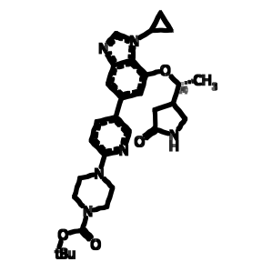 C[C@@H](Oc1cc(-c2ccc(N3CCN(C(=O)OC(C)(C)C)CC3)nc2)cc2ncn(C3CC3)c12)C1CNC(=O)C1